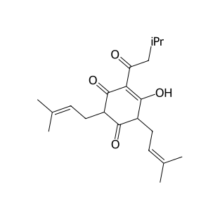 CC(C)=CCC1C(=O)C(C(=O)CC(C)C)=C(O)C(CC=C(C)C)C1=O